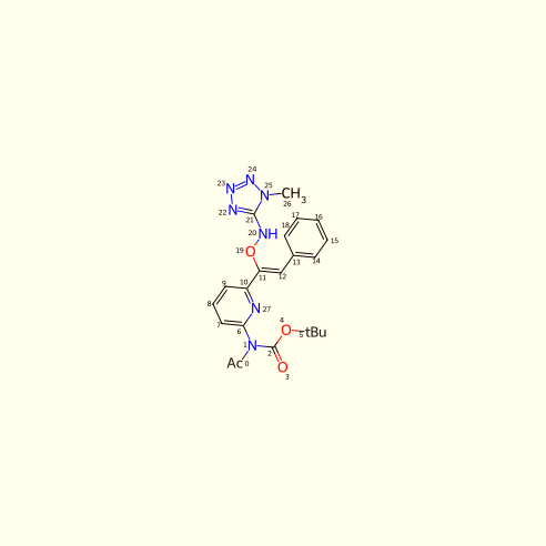 CC(=O)N(C(=O)OC(C)(C)C)c1cccc(C(=Cc2ccccc2)ONc2nnnn2C)n1